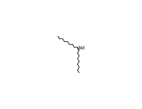 CCCCCCCC/C=C\CCCCCCCC.[Nd]